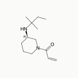 C=CC(=O)N1CCC[C@@H](NC(C)(C)CC)C1